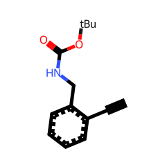 C#Cc1ccccc1CNC(=O)OC(C)(C)C